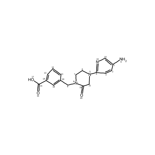 Nc1ccc(N2CCN(Cc3cccc(C(=O)O)c3)C(=O)C2)nc1